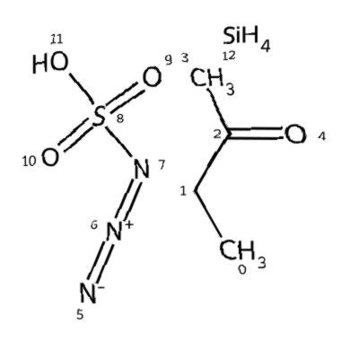 CCC(C)=O.[N-]=[N+]=NS(=O)(=O)O.[SiH4]